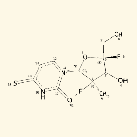 C[C@@]1(F)C(O)[C@@](F)(CO)O[C@H]1n1ccc(=S)[nH]c1=O